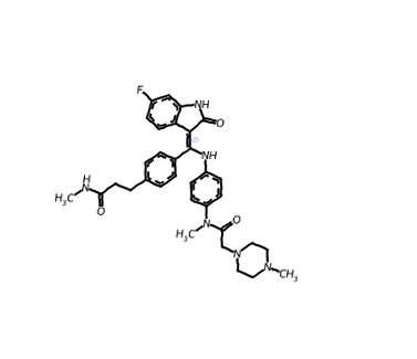 CNC(=O)CCc1ccc(/C(Nc2ccc(N(C)C(=O)CN3CCN(C)CC3)cc2)=C2/C(=O)Nc3cc(F)ccc32)cc1